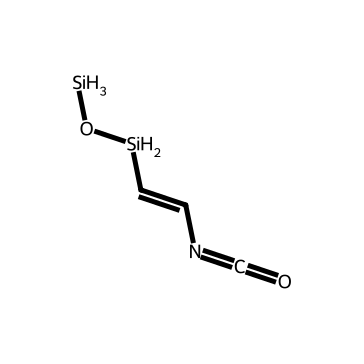 O=C=NC=C[SiH2]O[SiH3]